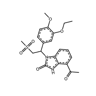 CCOc1cc(C(CS(C)(=O)=O)n2c(=O)[nH]c3c(C(C)=O)cccc32)ccc1OC